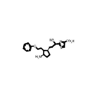 N[C@@H]1CC[C@H](CCC(O)c2nc(C(=O)O)cs2)C1CCOc1ccccc1